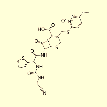 CCc1ccc(SCC2=C(C(=O)O)N3C(=O)[C@@H](NC(=O)C(NC(=O)NCC#N)c4cccs4)C3SC2)[n+]([O-])n1